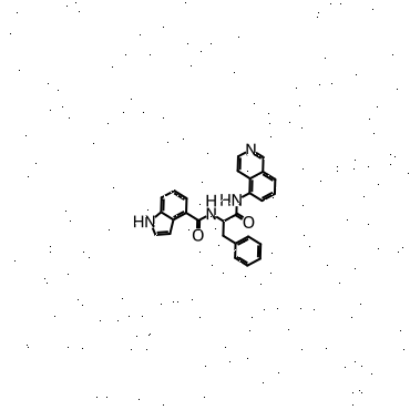 O=C(NC(Cc1ccccc1)C(=O)Nc1cccc2cnccc12)c1cccc2[nH]ccc12